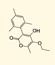 CCOc1c(C)oc(=O)c(-c2c(C)cc(C)cc2C)c1O